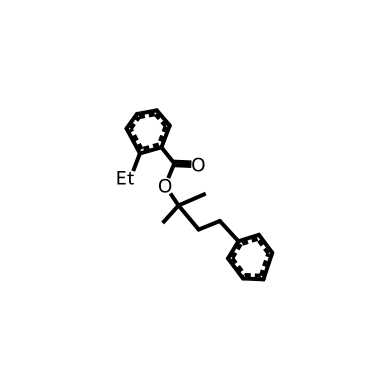 CCc1ccccc1C(=O)OC(C)(C)CCc1ccccc1